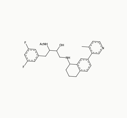 CC(=O)NC(Cc1cc(F)cc(F)c1)C(O)CNC1CCCc2ccc(-c3cnccc3C)cc21